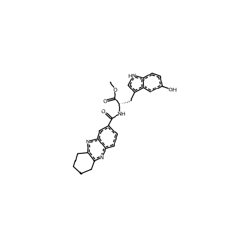 COC(=O)[C@H](Cc1c[nH]c2ccc(O)cc12)NC(=O)c1ccc2nc3c(nc2c1)CCCC3